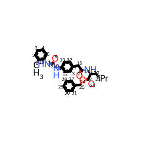 Cc1ccccc1NC(=O)Nc1ccc(CC(=O)NC(CC(C)C)C(=O)OCc2ccccc2)cc1